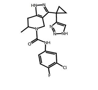 CC1Cc2[nH]nc(C3(c4c[nH]nn4)CC3)c2CN1C(=O)Nc1ccc(F)c(Cl)c1